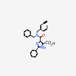 C#C/C=C(\C=C/C)CN(Cc1ccccc1)C(=O)c1nc(-c2ccccc2)[nH]c1C(=O)O